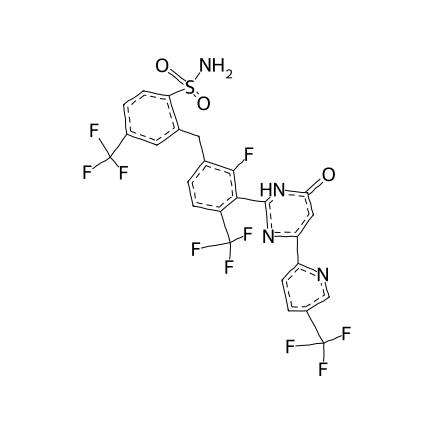 NS(=O)(=O)c1ccc(C(F)(F)F)cc1Cc1ccc(C(F)(F)F)c(-c2nc(-c3ccc(C(F)(F)F)cn3)cc(=O)[nH]2)c1F